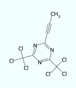 CC#Cc1nc(C(Cl)(Cl)Cl)nc(C(Cl)(Cl)Cl)n1